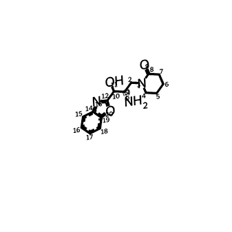 N[C@@H](CN1CCCCC1=O)C(O)c1nc2ccccc2o1